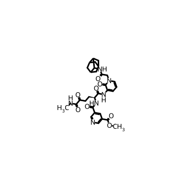 CNC(=O)C(=O)CC[C@H](NC(=O)c1cncc(C(=O)OC)c1)C(=O)Nc1cccn(CC(=O)NC2C3CC4CC(C3)C2C4)c1=O